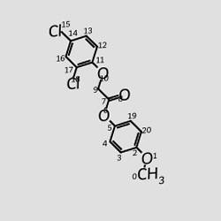 COc1ccc(OC(=O)COc2ccc(Cl)cc2Cl)cc1